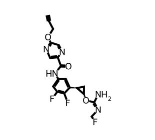 C#CCOc1cnc(C(=O)Nc2cc(F)c(F)c([C@H]3C[C@H]3O/C(N)=N\CF)c2)cn1